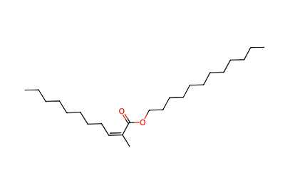 CCCCCCCCC=C(C)C(=O)OCCCCCCCCCCCC